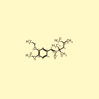 CCOc1cc(C=[N+]([O-])C(C)(C)CC(C)C)ccc1OC